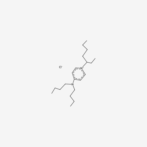 CCCCC(CC)[n+]1ccc(N(CCCC)CCCC)cc1.[Cl-]